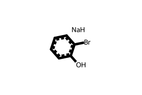 Oc1ccccc1Br.[NaH]